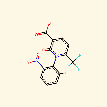 O=C(O)c1ccc(C(F)(F)F)n(-c2c(F)cccc2[N+](=O)[O-])c1=O